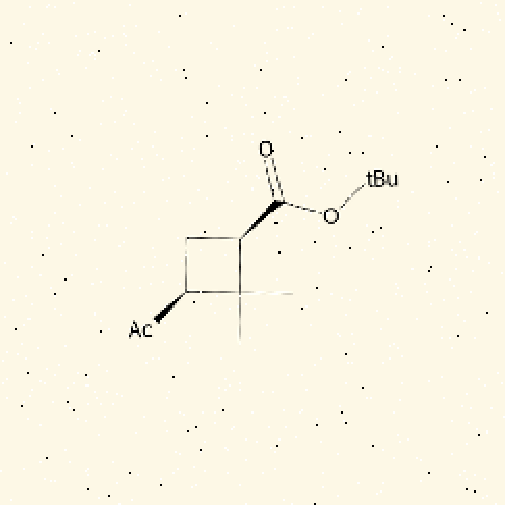 CC(=O)[C@H]1C[C@@H](C(=O)OC(C)(C)C)C1(C)C